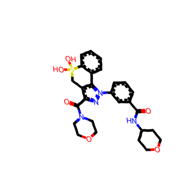 O=C(NC1CCOCC1)c1cccc(-n2nc(C(=O)N3CCOCC3)c3c2-c2ccccc2S(O)(O)C3)c1